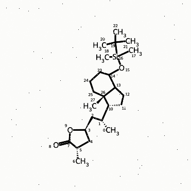 C[C@H](C[C@H]1C[C@H](C)C(=O)O1)[C@H]1CCC2C(O[Si](C)(C)C(C)(C)C)CCC[C@]21C